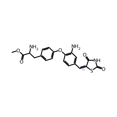 COC(=O)C(N)Cc1ccc(Oc2ccc(/C=C3/SC(=O)NC3=O)cc2N)cc1